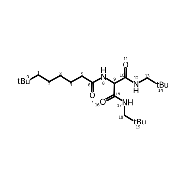 CC(C)(C)CCCCCC(=O)NC(C(=O)NCC(C)(C)C)C(=O)NCC(C)(C)C